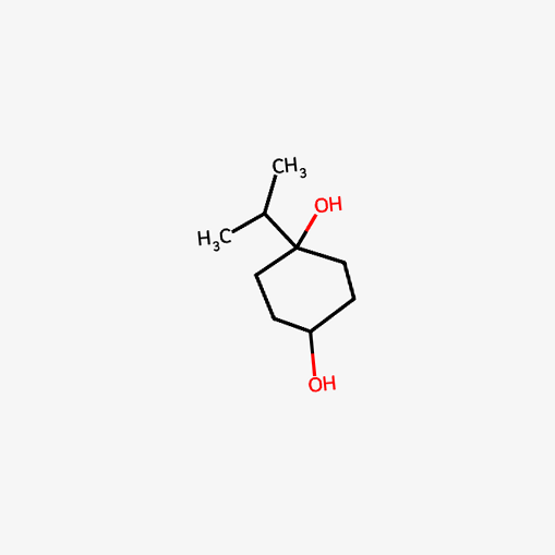 CC(C)C1(O)CCC(O)CC1